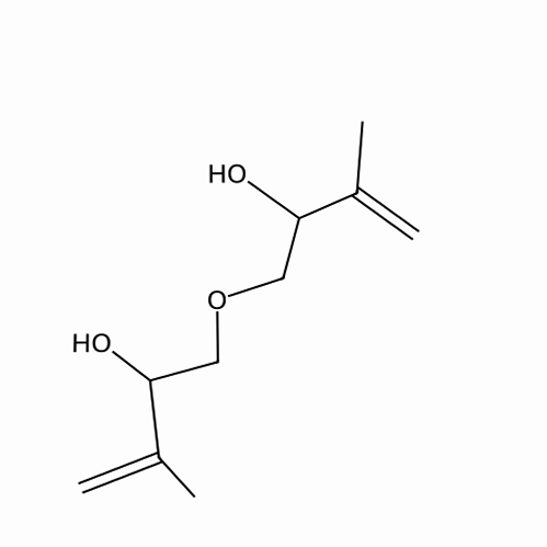 C=C(C)C(O)COCC(O)C(=C)C